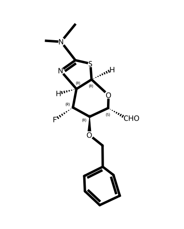 CN(C)C1=N[C@@H]2[C@@H](F)[C@H](OCc3ccccc3)[C@@H](C=O)O[C@@H]2S1